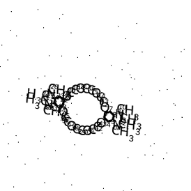 CN(C)c1cc2c(cc1N(C)C)OCCOCCOCCOc1cc(N(C)C)c(N(C)C)cc1OCCOCCOCCO2